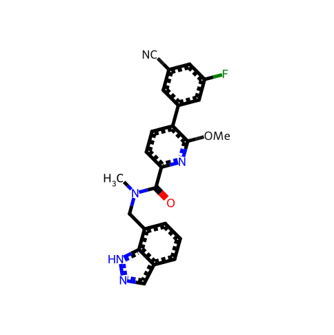 COc1nc(C(=O)N(C)Cc2cccc3cn[nH]c23)ccc1-c1cc(F)cc(C#N)c1